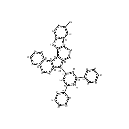 Cc1ccc2sc3c(ccc4c3c3c5ccccc5ccc3n4-c3cc(-c4ccccc4)nc(-c4ccccc4)n3)c2c1